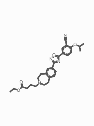 CCOC(=O)CCCN1CCc2ccc(-c3noc(-c4ccc(OC(C)C)c(C#N)c4)n3)cc2CC1